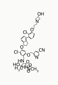 C[C@@H](O)[C@H](NCc1cc(Cl)c(O[C@H]2CCc3c(-c4cccc(OCCCN5CC(O)C5)c4Cl)cccc32)cc1OCc1cncc(C#N)c1)C(=O)NS(C)(=O)=O